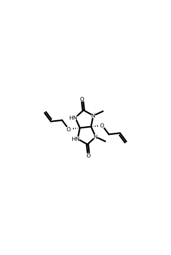 C=CCO[C@]12NC(=O)N(C)[C@@]1(OCC=C)N(C)C(=O)N2